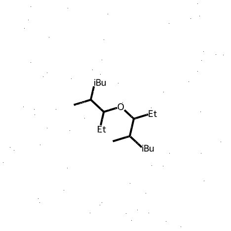 CCC(C)C(C)C(CC)OC(CC)C(C)C(C)CC